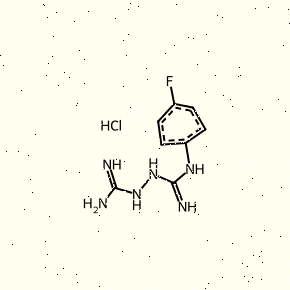 Cl.N=C(N)NNC(=N)Nc1ccc(F)cc1